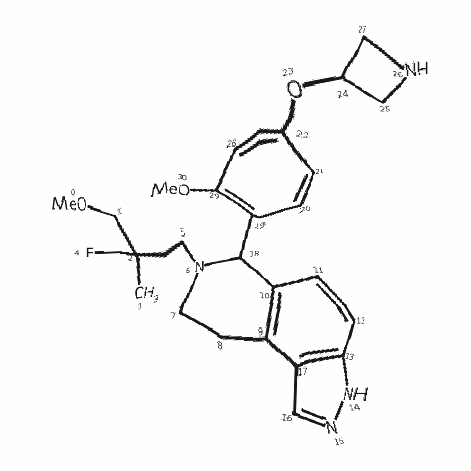 COCC(C)(F)CN1CCc2c(ccc3[nH]ncc23)C1c1ccc(OC2CNC2)cc1OC